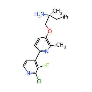 Cc1nc(-c2ccnc(Cl)c2F)ccc1OC[C@@](C)(N)CC(C)C